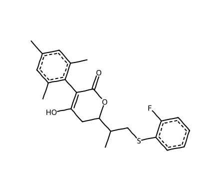 Cc1cc(C)c(C2=C(O)CC(C(C)CSc3ccccc3F)OC2=O)c(C)c1